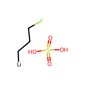 O=S(=O)(O)O.[Li][CH2]CCF